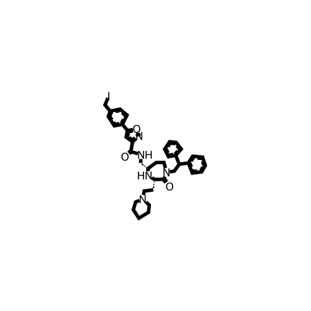 O=C(NC[C@@H]1CCN(CC(c2ccccc2)c2ccccc2)C(=O)[C@H](CCN2CCCCC2)N1)c1cc(-c2ccc(CI)cc2)on1